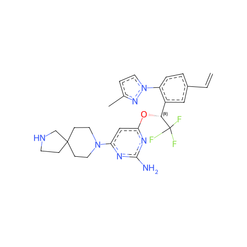 C=Cc1ccc(-n2ccc(C)n2)c([C@@H](Oc2cc(N3CCC4(CCNC4)CC3)nc(N)n2)C(F)(F)F)c1